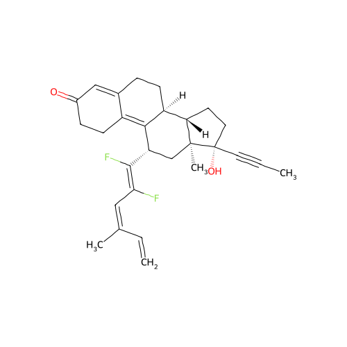 C=C/C(C)=C\C(F)=C(/F)[C@H]1C[C@@]2(C)[C@@H](CC[C@@]2(O)C#CC)[C@@H]2CCC3=CC(=O)CCC3=C21